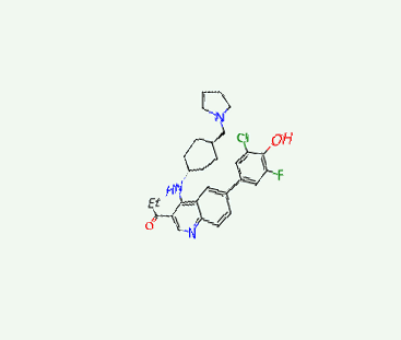 CCC(=O)c1cnc2ccc(-c3cc(F)c(O)c(Cl)c3)cc2c1N[C@H]1CC[C@H](CN2CCCC2)CC1